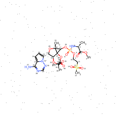 CC(C)OC(=O)[C@H](C)NP(=O)(OCCS(C)(=O)=O)OC1[C@@]2(C)O[C@@H](c3ccc4c(N)ncnn34)[C@H](OC(=O)C(C)C)[C@@]12OC(=O)C(C)C